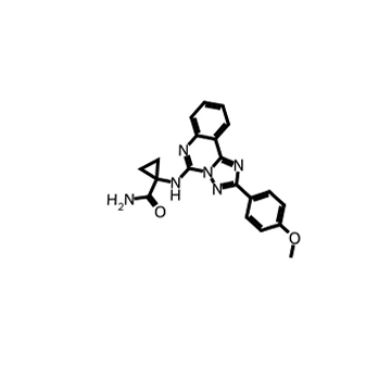 COc1ccc(-c2nc3c4ccccc4nc(NC4(C(N)=O)CC4)n3n2)cc1